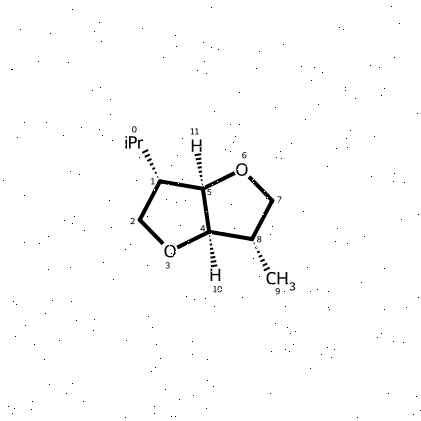 CC(C)[C@H]1CO[C@H]2[C@@H]1OC[C@@H]2C